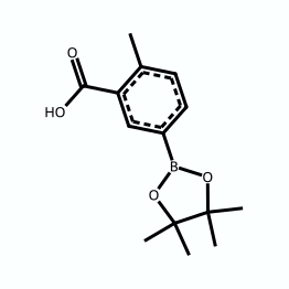 Cc1ccc(B2OC(C)(C)C(C)(C)O2)cc1C(=O)O